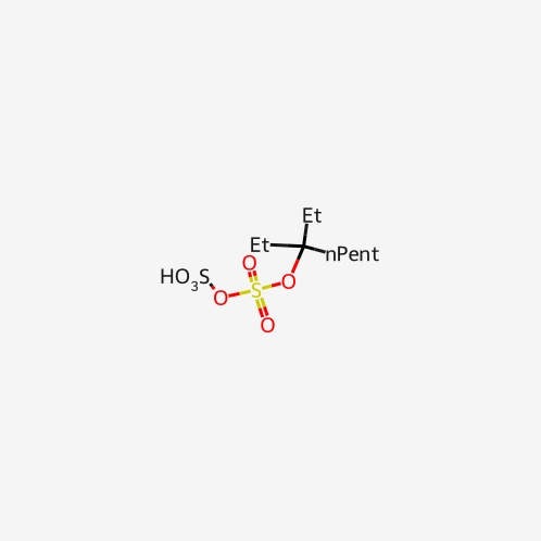 CCCCCC(CC)(CC)OS(=O)(=O)OS(=O)(=O)O